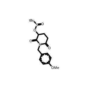 COc1ccc(CN2C(=O)CCC(OS(=O)C(C)(C)C)C2=O)cc1